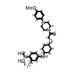 COc1ccc(N2CCN(C(=S)COC3CCC(Nc4ccc(N(O)O)c(C(F)(F)F)c4)CC3)CC2)cc1